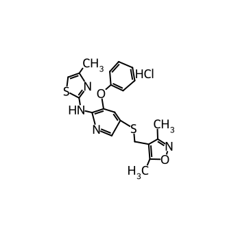 Cc1csc(Nc2ncc(SCc3c(C)noc3C)cc2Oc2ccccc2)n1.Cl